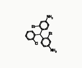 CCc1cc(N)ccc1C(c1ccccc1Cl)c1ccc(N)cc1CC